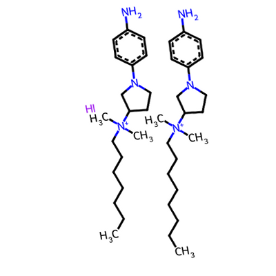 CCCCCCCC[N+](C)(C)C1CCN(c2ccc(N)cc2)C1.CCCCCCC[N+](C)(C)C1CCN(c2ccc(N)cc2)C1.I